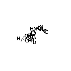 CC(C)(C)[Si](C)(C)Oc1ccc(Nc2cnn(C3COC3)c2)cc1